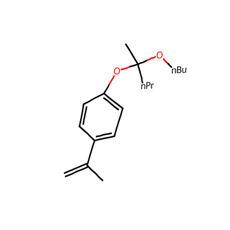 C=C(C)c1ccc(OC(C)(CCC)OCCCC)cc1